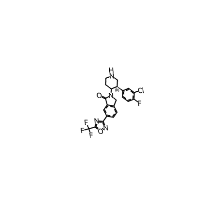 O=C1c2cc(-c3noc(C(F)(F)F)n3)ccc2CN1C1CCNC[C@H]1c1ccc(F)c(Cl)c1